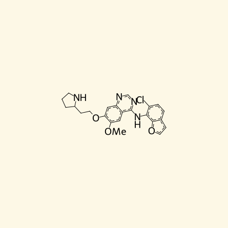 COc1cc2c(Nc3c(Cl)ccc4ccoc34)ncnc2cc1OCCC1CCCN1